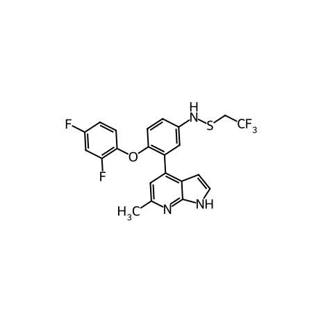 Cc1cc(-c2cc(NSCC(F)(F)F)ccc2Oc2ccc(F)cc2F)c2cc[nH]c2n1